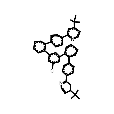 CC(C)(C)c1ccnc(-c2ccc(-c3ccccc3-c3cc(Cl)cc(-c4ccccc4-c4ccc(C5=NC=CC(C(C)(C)C)C5)cc4)c3)cc2)c1